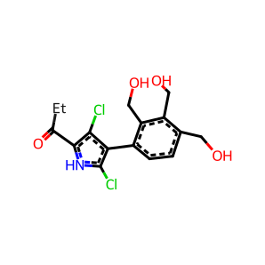 CCC(=O)c1[nH]c(Cl)c(-c2ccc(CO)c(CO)c2CO)c1Cl